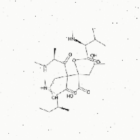 CC[C@H](C)[C@H](NC)C(=O)C(CC(C)O)(C(=O)[C@H](C)NC)C(CC(C)O)(OC(=O)[C@@H](NC)C(C)C)C(=O)O